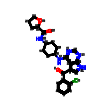 O=C(c1ccccc1Cl)c1c[nH]c2ncnc(N[C@H]3CC[C@@H](NC(=O)[C@H]4CCCO4)CC3)c12